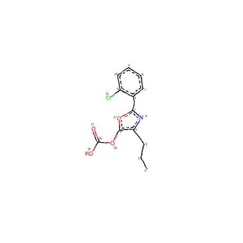 CCCc1nc(-c2ccccc2Cl)oc1OC(=O)O